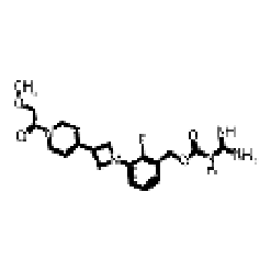 COCC(=O)N1CCC(C2CN(c3cccc(COC(=O)NC(=N)N)c3F)C2)CC1